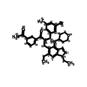 CCc1nc2c(cnn2CC)c(NC2CCOCC2)c1CN(Cc1cc(C)cc(Br)c1)C(=O)c1cccc(C(N)=O)c1